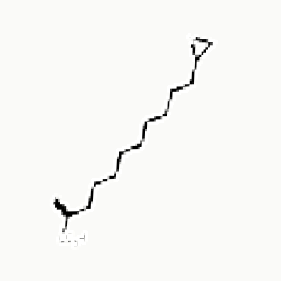 C=C(CCCCCCCCCC1CS1)C(=O)O